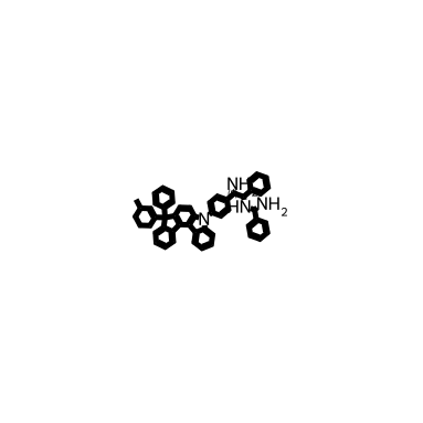 CC1C=C(C2(c3ccccc3)c3ccccc3-c3c2ccc2c3c3ccccc3n2-c2ccc([C@H](N)C(NC(N)c3ccccc3)c3ccccc3)cc2)CCC1